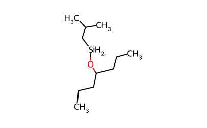 CCCC(CCC)O[SiH2]CC(C)C